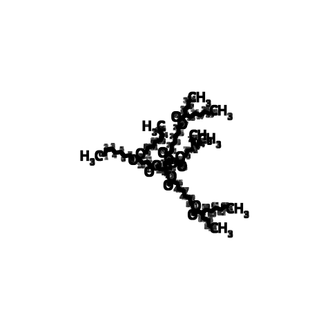 CC/C=C\CCCCOC(CCC(=O)OCC(COC(=O)CCCCCCOC(=O)C(CCCC)CCCCCC)(COC(=O)CCCCCCOC(=O)C(CCCC)CCCCCC)COC(=O)OCCCN(CC)CC)OCCCC/C=C\CC